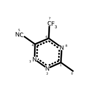 Cc1nnc(C#N)c(C(F)(F)F)n1